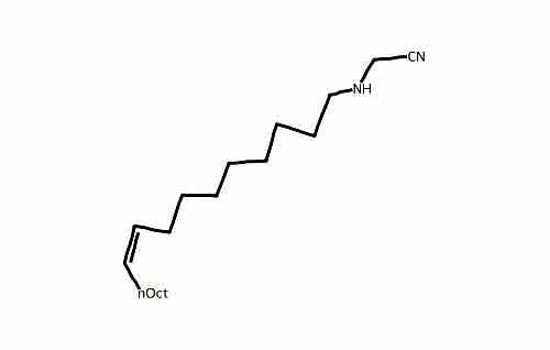 CCCCCCCC/C=C\CCCCCCCCNCC#N